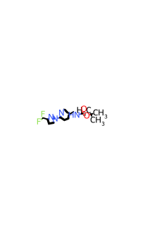 CC(C)(C)OC(=O)NCc1ccc(-n2ccc(C(F)F)n2)nc1